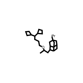 CC(CC1C2CC3CC1CC(C(C)C)(C3)C2)OCCCC(C1CCC1)C1CCC1